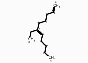 C=CCCCC(=CCCCC)CC